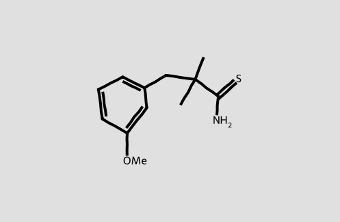 COc1cccc(CC(C)(C)C(N)=S)c1